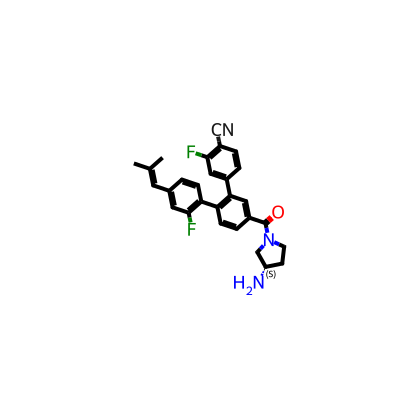 CC(C)=Cc1ccc(-c2ccc(C(=O)N3CC[C@H](N)C3)cc2-c2ccc(C#N)c(F)c2)c(F)c1